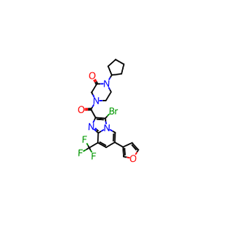 O=C(c1nc2c(C(F)(F)F)cc(-c3ccoc3)cn2c1Br)N1CCN(C2CCCC2)C(=O)C1